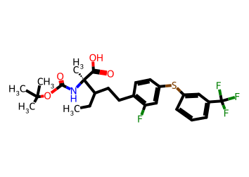 CCC(CCc1ccc(Sc2cccc(C(F)(F)F)c2)cc1F)[C@@](C)(NC(=O)OC(C)(C)C)C(=O)O